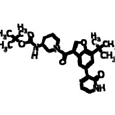 CC(C)(C)OC(=O)NC1CCCN(C(=O)c2coc3c(C(C)(C)C)cc(-c4ccc[nH]c4=O)cc23)C1